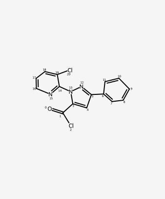 O=C(Cl)c1cc(-c2ccccc2)nn1-c1ncccc1Cl